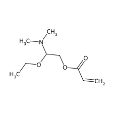 C=CC(=O)OCC(OCC)N(C)C